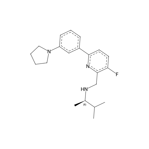 CC(C)[C@@H](C)NCc1nc(-c2cccc(N3CCCC3)c2)ccc1F